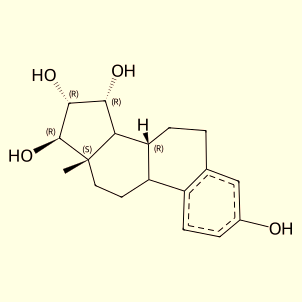 C[C@]12CCC3c4ccc(O)cc4CC[C@H]3C1[C@@H](O)[C@@H](O)[C@@H]2O